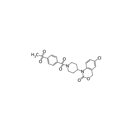 CS(=O)(=O)c1ccc(S(=O)(=O)N2CCC(N3C(=O)OCc4cc(Cl)ccc43)CC2)cc1